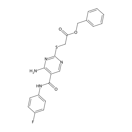 Nc1nc(SCC(=O)OCc2ccccc2)ncc1C(=O)Nc1ccc(F)cc1